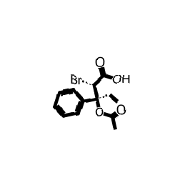 CC[C@](OC(C)=O)(c1ccccc1)[C@H](Br)C(=O)O